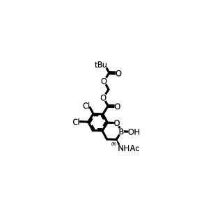 CC(=O)N[C@H]1Cc2cc(Cl)c(Cl)c(C(=O)OCOC(=O)C(C)(C)C)c2OB1O